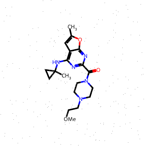 COCCN1CCN(C(=O)c2nc(NC3(C)CC3)c3cc(C)oc3n2)CC1